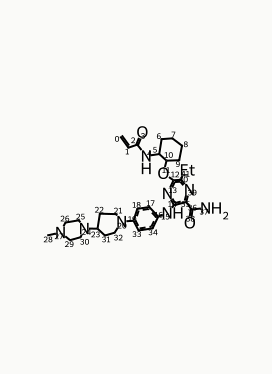 C=CC(=O)NC1CCCCC1Oc1nc(Nc2ccc(N3CCC(N4CCN(C)CC4)CC3)cc2)c(C(N)=O)nc1CC